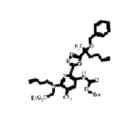 C=CCCN(CC(=O)OCC)c1nc(-c2nnc(C(CCC=C)(OCc3ccccc3)C(F)(F)F)o2)c(NC(=O)OC(C)(C)C)cc1C(F)(F)F